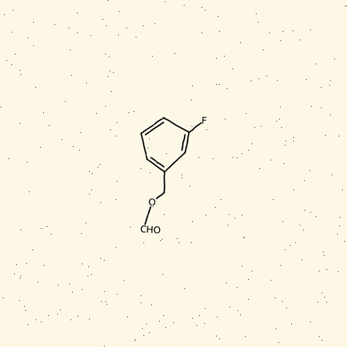 O=COCc1cccc(F)c1